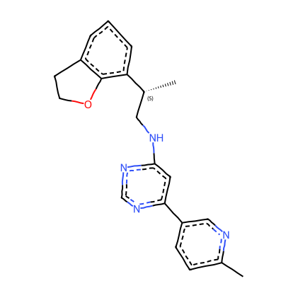 Cc1ccc(-c2cc(NC[C@@H](C)c3cccc4c3OCC4)ncn2)cn1